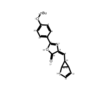 CCCCOc1ccc(C2=NC(=CC3C4C=CSC43)C(=O)O2)cc1